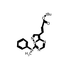 CN(c1ccccc1)c1ncnc2c(/C=C/C(=O)OC(C)(C)C)cnn12